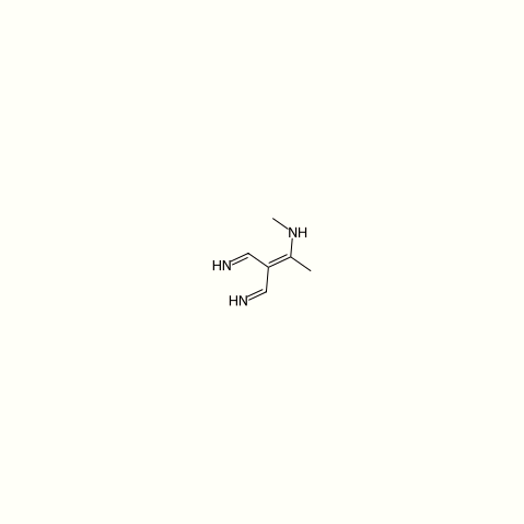 CNC(C)=C(C=N)C=N